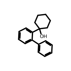 OC1(c2ccccc2-c2ccccc2)CCCCC1